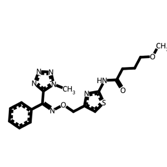 COCCCC(=O)Nc1nc(CO/N=C(/c2ccccc2)c2nnnn2C)cs1